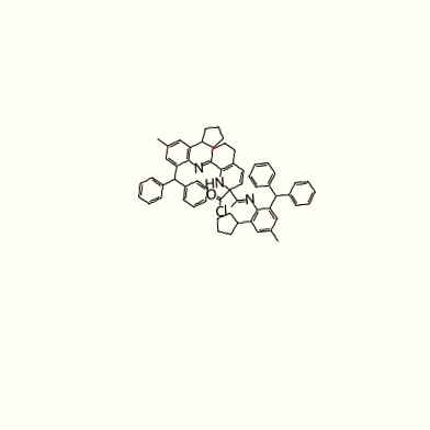 CC(=Nc1c(C2CCCC2)cc(C)cc1C(c1ccccc1)c1ccccc1)C1(C(=O)Cl)C=CC2=C(N1)C(=Nc1c(C3CCCC3)cc(C)cc1C(c1ccccc1)c1ccccc1)CCC2